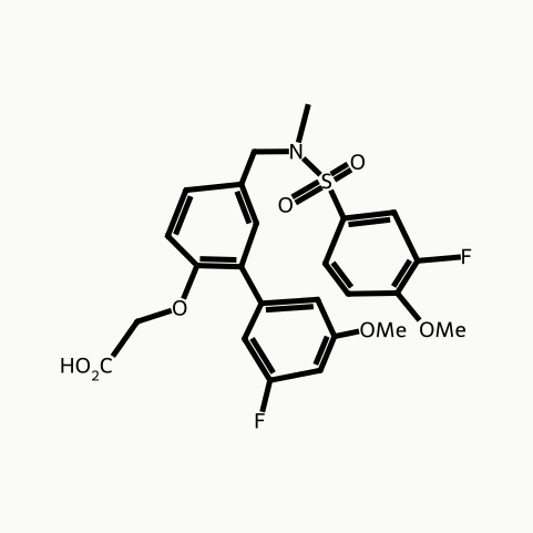 COc1cc(F)cc(-c2cc(CN(C)S(=O)(=O)c3ccc(OC)c(F)c3)ccc2OCC(=O)O)c1